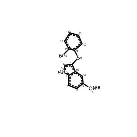 COc1ccc2[nH]cc(Sc3ccccc3Br)c2c1